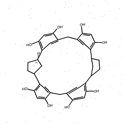 Oc1cc(O)c2cc1Cc1cc(c(O)cc1O)C1CC[C@H](C1)c1cc(c(O)cc1O)Cc1cc(c(O)cc1O)C1CCC2C1